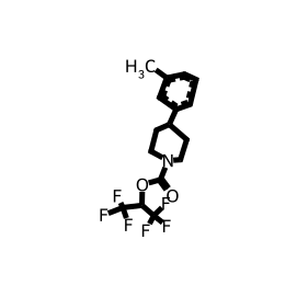 Cc1cccc(C2CCN(C(=O)OC(C(F)(F)F)C(F)(F)F)CC2)c1